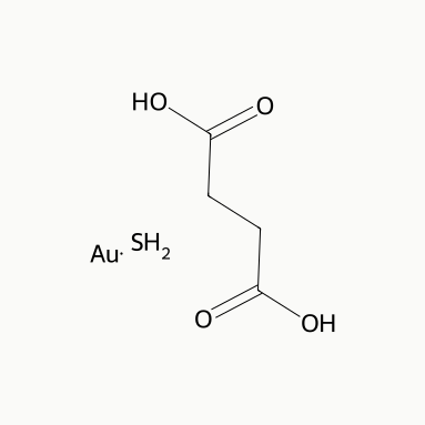 O=C(O)CCC(=O)O.S.[Au]